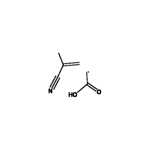 C=C(C)C#N.[CH2]C(=O)O